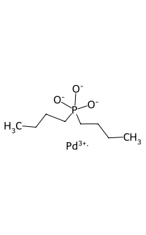 CCCCP([O-])([O-])([O-])CCCC.[Pd+3]